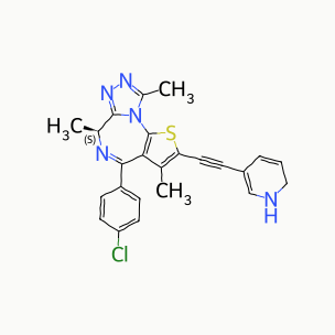 Cc1c(C#CC2=CNCC=C2)sc2c1C(c1ccc(Cl)cc1)=N[C@@H](C)c1nnc(C)n1-2